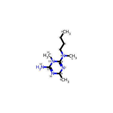 CCCCN(C)C1=NC(C)N=C(N)N1C